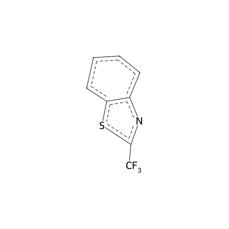 FC(F)(F)c1nc2ccccc2s1